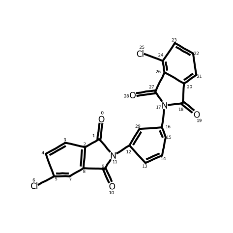 O=C1c2ccc(Cl)cc2C(=O)N1c1cccc(N2C(=O)c3cccc(Cl)c3C2=O)c1